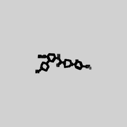 COc1ccc(NC(=O)N2CCN(c3ccc(C(F)(F)F)cn3)CC2)cc1C1CCN(C(C)C)CC1